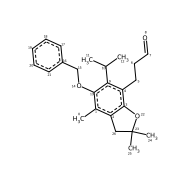 Cc1c2c(c(CCC=O)c(C(C)C)c1OCc1ccccc1)OC(C)(C)C2